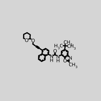 Cc1nc2cc(C(C)(C)C)cc(NC(=O)Nc3ccc(C#CCOC4CCCCO4)c4ccccc34)c2o1